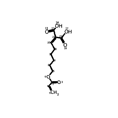 C=CC(=O)OCCCCCC=C(C(=O)O)C(=O)O